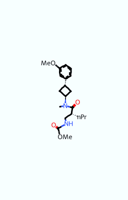 CCC[C@H](CNC(=O)OC)C(=O)N(C)[C@H]1C[C@H](c2cccc(OC)c2)C1